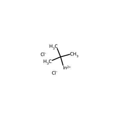 C[C](C)(C)[In+2].[Cl-].[Cl-]